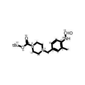 Cc1cc(CN2CCN(C(=O)OC(C)(C)C)CC2)ccc1NC=O